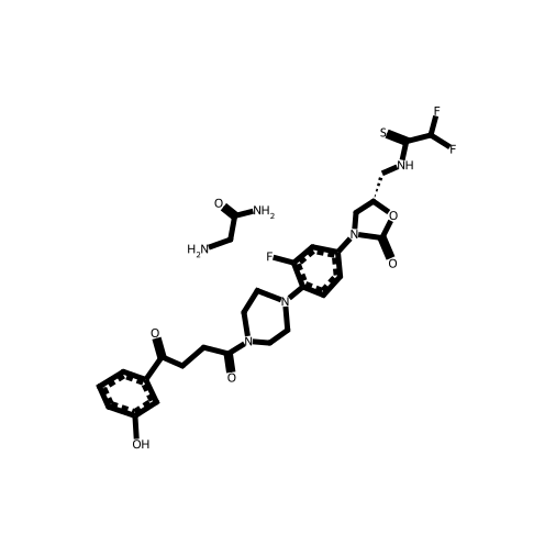 NCC(N)=O.O=C(CCC(=O)N1CCN(c2ccc(N3C[C@H](CNC(=S)C(F)F)OC3=O)cc2F)CC1)c1cccc(O)c1